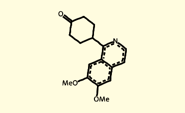 COc1cc2ccnc(C3CCC(=O)CC3)c2cc1OC